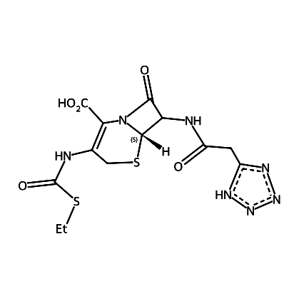 CCSC(=O)NC1=C(C(=O)O)N2C(=O)C(NC(=O)Cc3nnn[nH]3)[C@@H]2SC1